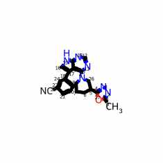 Cc1nnc(C2CCCN(c3ncnc4[nH]cc(-c5cccc(C#N)c5)c34)C2)o1